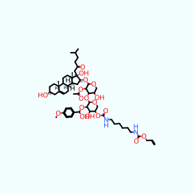 C=CCOC(=O)NCCCCCCNC(=O)OC1COC(OC2C(O)COC(O[C@H]3C[C@H]4[C@@H]5CC=C6C[C@@H](O)CC[C@]6(C)C5CC[C@]4(C)[C@@]3(O)CC(=O)CCC(C)C)C2OC(C)=O)C(OC(O)c2ccc(OC)cc2)C1O